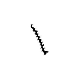 CCCCCCCCCCCCCCCCCC[C]1CC1